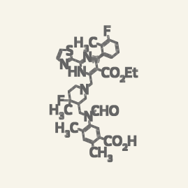 CCOC(=O)C1=C(CN2CCC(C)(F)C(CN(C=O)c3cc(C(=O)O)c(C)cc3C)C2)NC(c2nccs2)=N[C@H]1c1cccc(F)c1C